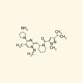 C=NN1C=C(C)C(N2CC[C@H](N)C2)=N/C1=C/C1CCCCN1C(=O)c1cc(C(C)C)nn1C